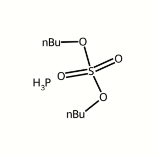 CCCCOS(=O)(=O)OCCCC.P